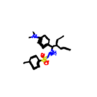 C/C=C(\CCC)C(NS(=O)(=O)c1ccc(C)cc1)c1ccc(N(C)C)cc1